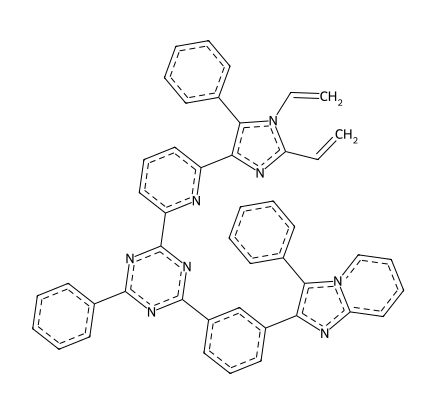 C=Cc1nc(-c2cccc(-c3nc(-c4ccccc4)nc(-c4cccc(-c5nc6ccccn6c5-c5ccccc5)c4)n3)n2)c(-c2ccccc2)n1C=C